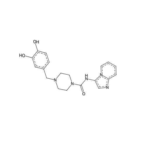 O=C(Nc1cnc2ccccn12)N1CCN(Cc2ccc(O)c(O)c2)CC1